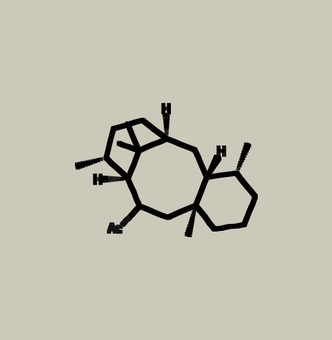 CC(=O)C1C[C@]2(C)CCC[C@@H](C)[C@H]2C[C@@H]2CC[C@@H](C)[C@H]1C2(C)C